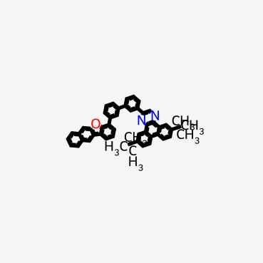 CC(C)(C)c1ccc2c3ccc(C(C)(C)C)cc3c3nc(-c4cccc(-c5cccc(-c6cccc7c6oc6cc8ccccc8cc67)c5)c4)cnc3c2c1